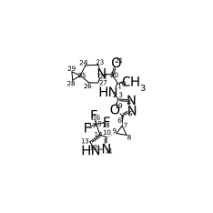 C[C@@H](Nc1nnc([C@H]2C[C@@H]2c2n[nH]cc2C(F)(F)F)o1)C(=O)N1CCC2(CC1)CC2